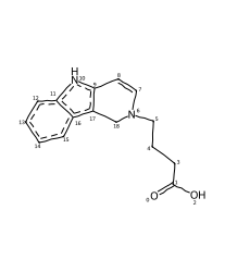 O=C(O)CCCN1C=Cc2[nH]c3ccccc3c2C1